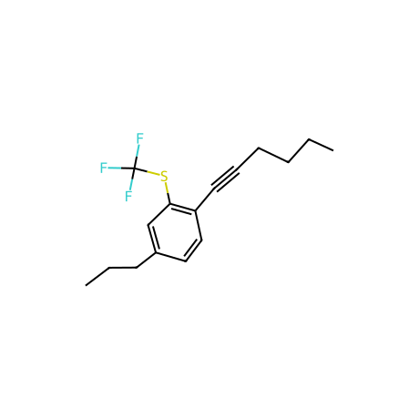 CCCCC#Cc1ccc(CCC)cc1SC(F)(F)F